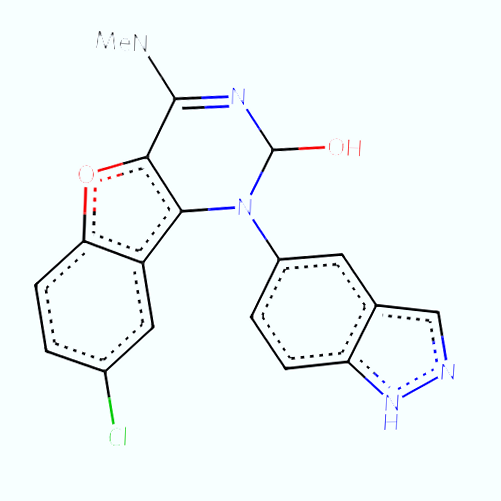 CNC1=NC(O)N(c2ccc3[nH]ncc3c2)c2c1oc1ccc(Cl)cc21